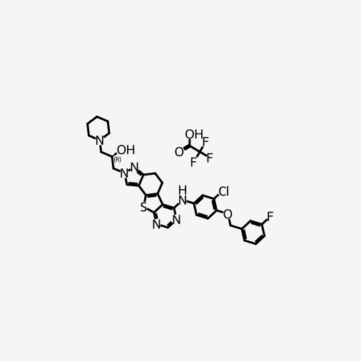 O=C(O)C(F)(F)F.O[C@H](CN1CCCCC1)Cn1cc2c(n1)CCc1c-2sc2ncnc(Nc3ccc(OCc4cccc(F)c4)c(Cl)c3)c12